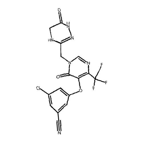 N#Cc1cc(Cl)cc(Oc2c(C(F)(F)F)ncn(CC3=NNC(=O)CN3)c2=O)c1